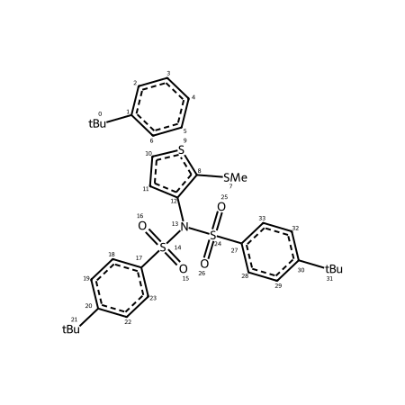 CC(C)(C)c1ccccc1.CSc1sccc1N(S(=O)(=O)c1ccc(C(C)(C)C)cc1)S(=O)(=O)c1ccc(C(C)(C)C)cc1